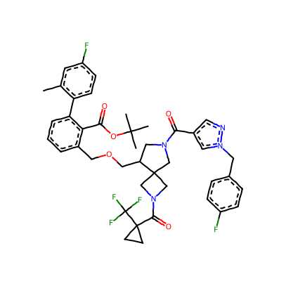 Cc1cc(F)ccc1-c1cccc(COCC2CN(C(=O)c3cnn(Cc4ccc(F)cc4)c3)CC23CN(C(=O)C2(C(F)(F)F)CC2)C3)c1C(=O)OC(C)(C)C